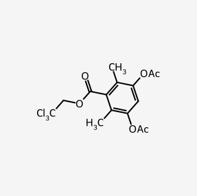 CC(=O)Oc1cc(OC(C)=O)c(C)c(C(=O)OCC(Cl)(Cl)Cl)c1C